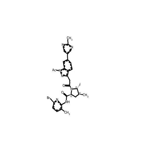 CC(=O)n1nc(CC(=O)N2[C@H](I)[C@@H](C)C[C@H]2C(=O)Nc2nc(Br)ccc2C)c2ccc(-c3cnc(C)nc3)cc21